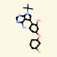 CC(C)(C)n1cc(-c2ccc(Oc3cccc(Cl)c3)cc2O)c2c(N)ncnc21